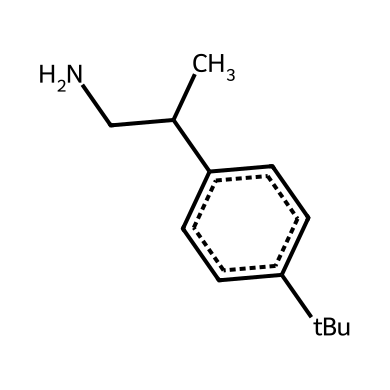 CC(CN)c1ccc(C(C)(C)C)cc1